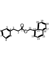 O=C(CCc1ccccc1)OCc1cccc2ccccc12